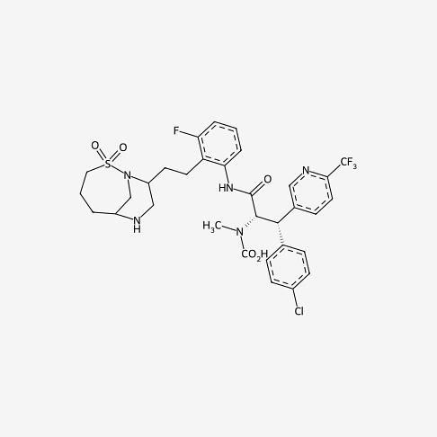 CN(C(=O)O)[C@H](C(=O)Nc1cccc(F)c1CCC1CNC2CCCS(=O)(=O)N1C2)[C@@H](c1ccc(Cl)cc1)c1ccc(C(F)(F)F)nc1